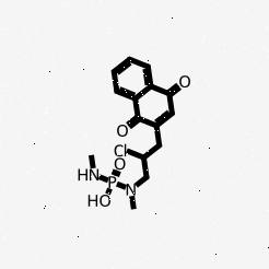 CNP(=O)(O)N(C)CC(Cl)CC1=CC(=O)c2ccccc2C1=O